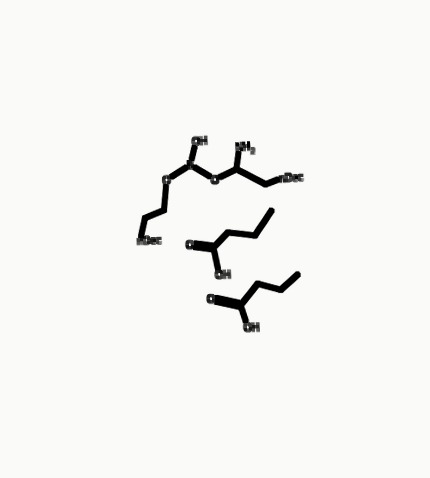 CCCC(=O)O.CCCC(=O)O.CCCCCCCCCCCCOB(O)OC(N)CCCCCCCCCCC